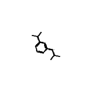 CC(C)[CH]c1cccc(C(C)C)c1